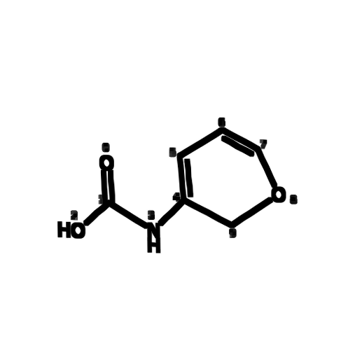 O=C(O)NC1=CC=COC1